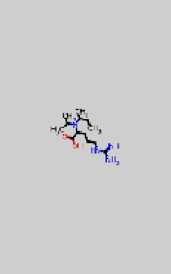 CCC(C)N(C(C)C)C(CCCNC(=N)N)C(=O)O